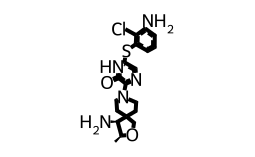 C[C@@H]1OCC2(CCN(c3ncc(Sc4cccc(N)c4Cl)[nH]c3=O)CC2)[C@@H]1N